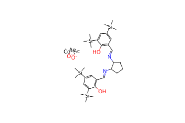 CC(=O)[O-].CC(=O)[O-].C[Si](C)(C)c1cc(C=NC2CCCC2N=Cc2cc([Si](C)(C)C)cc([Si](C)(C)C)c2O)c(O)c([Si](C)(C)C)c1.[Co+2]